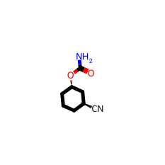 N#C[C@H]1CCC[C@H](OC(N)=O)C1